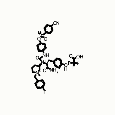 C[N+]1(Cc2ccc(F)cc2)CCC/C(=[N+](\C(=O)Nc2ccc(OS(=O)(=O)c3ccc(C#N)cc3)cc2)[C@@H](Cc2ccc(O)cc2)C(N)=O)C1.O=C(O)C(F)(F)F